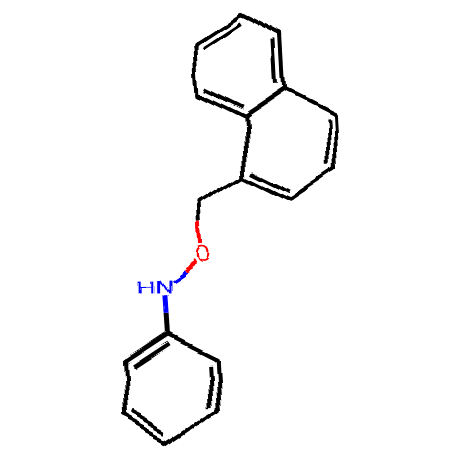 c1ccc(NOCc2cccc3ccccc23)cc1